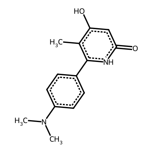 Cc1c(O)cc(=O)[nH]c1-c1ccc(N(C)C)cc1